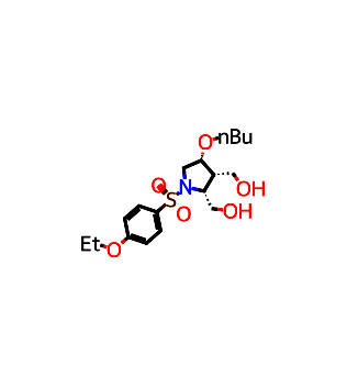 CCCCO[C@H]1CN(S(=O)(=O)c2ccc(OCC)cc2)[C@@H](CO)[C@H]1CO